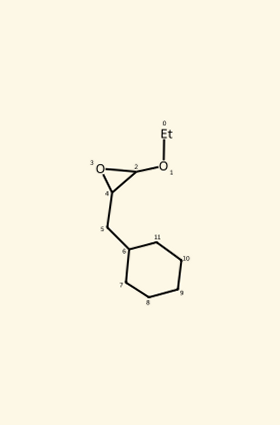 CCOC1OC1CC1CCCCC1